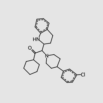 O=C(C1CCCCC1)C(C1CCc2ccccc2N1)N1CCC(c2cccc(Cl)c2)CC1